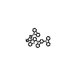 c1ccc2c(c1)Oc1c(-n3c4ccccc4c4cc(-n5c6ccccc6c6ccccc65)ccc43)cccc1C21c2cccnc2-c2ncc(-n3c4ccccc4c4ccccc43)cc21